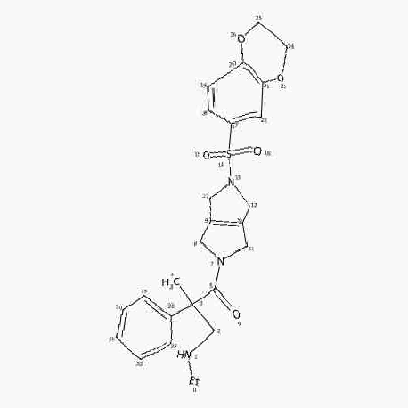 CCNCC(C)(C(=O)N1CC2=C(C1)CN(S(=O)(=O)c1ccc3c(c1)OCCO3)C2)c1ccccc1